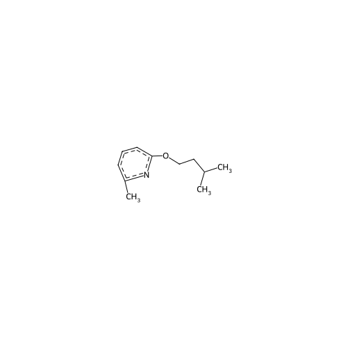 Cc1cccc(OCCC(C)C)n1